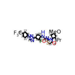 COc1ccc(C(C)C)c(N2C(=O)CSC2=NC(=O)Nc2ccc(-c3ncn(-c4ccc(C(F)(F)F)cc4)n3)cc2F)c1